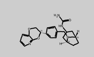 NC(=O)NC1C[C@@H]2CC[C@@H](C1)N2Cc1ccc([C@H]2COc3cccnc3O2)cc1